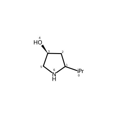 CC(C)C1C[C@H](O)CN1